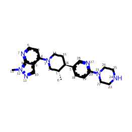 C[C@@H]1CN(c2ccnc3c2cnn3C)CC[C@H]1c1ccc(N2CCNCC2)nc1